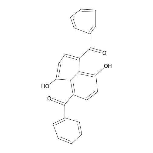 O=C(c1ccccc1)c1ccc(O)c2c(C(=O)c3ccccc3)ccc(O)c12